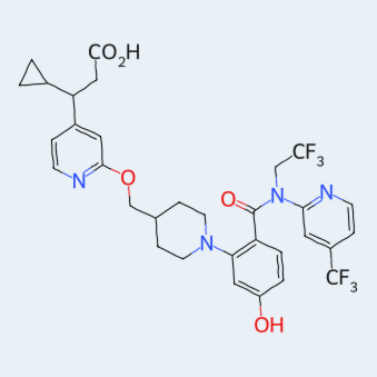 O=C(O)CC(c1ccnc(OCC2CCN(c3cc(O)ccc3C(=O)N(CC(F)(F)F)c3cc(C(F)(F)F)ccn3)CC2)c1)C1CC1